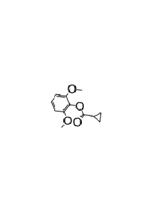 COc1cccc(OC)c1OC(=O)C1CC1